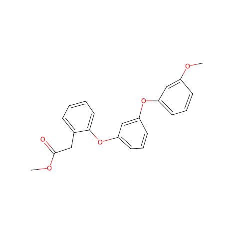 COC(=O)Cc1ccccc1Oc1cccc(Oc2cccc(OC)c2)c1